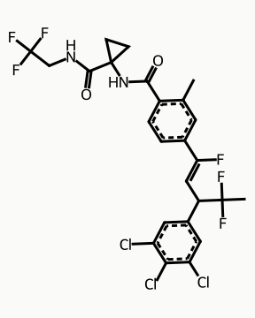 Cc1cc(/C(F)=C/C(c2cc(Cl)c(Cl)c(Cl)c2)C(C)(F)F)ccc1C(=O)NC1(C(=O)NCC(F)(F)F)CC1